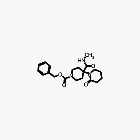 CNC(=O)C1(N2CCCCC2=O)CCN(C(=O)OCc2ccccc2)CC1